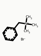 C[N+](C)(C)Cc1ccccc1.[Br-]